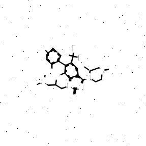 CC1CN(C)CCN1c1nc(=O)n2c3c(c(-c4ccc(F)cc4F)c(C(F)(F)F)cc13)SC(CN(C)C)C2